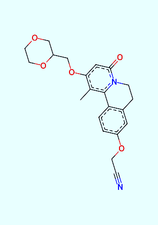 Cc1c(OCC2COCCO2)cc(=O)n2c1-c1ccc(OCC#N)cc1CC2